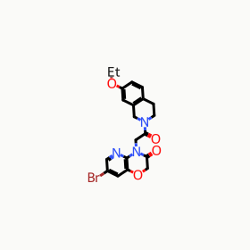 CCOc1ccc2c(c1)CN(C(=O)CN1C(=O)COc3cc(Br)cnc31)CC2